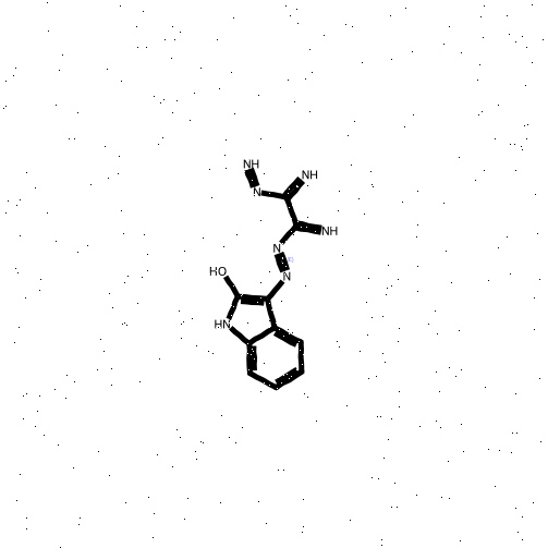 N=NC(=N)C(=N)/N=N/c1c(O)[nH]c2ccccc12